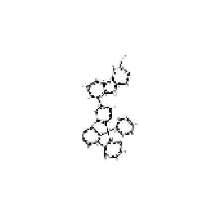 Fc1ccc2oc3c(-c4ccc(C5(c6ccccc6)c6ccccc6-c6ccccc65)cc4)cccc3c2c1